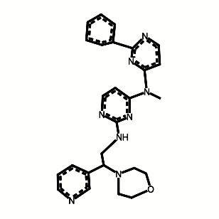 CN(c1ccnc(NCC(c2cccnc2)N2CCOCC2)n1)c1ccnc(-c2ccccc2)n1